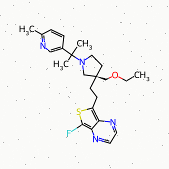 CCOC[C@]1(CCc2sc(F)c3nccnc23)CCN(C(C)(C)c2ccc(C)nc2)C1